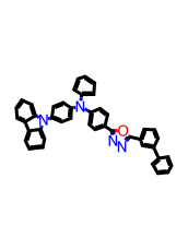 c1ccc(-c2cccc(-c3nnc(-c4ccc(N(c5ccccc5)c5ccc(-n6c7ccccc7c7ccccc76)cc5)cc4)o3)c2)cc1